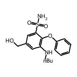 CCCCNc1cc(CO)cc(S(N)(=O)=O)c1Oc1ccccc1